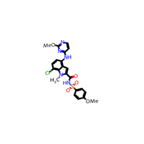 COc1ccc(S(=O)(=O)NC(=O)c2cc3c(Nc4ccnc(OC)n4)ccc(Cl)c3n2C)cc1